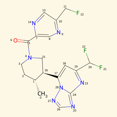 C[C@@H]1CCN(C(=O)c2cnc(CF)cn2)C[C@H]1c1cc(C(F)F)nc2ncnn12